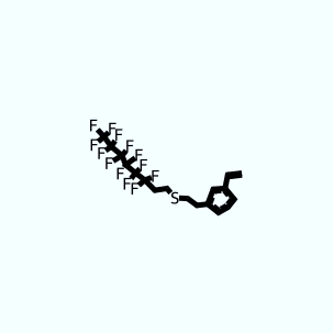 C=Cc1cccc(CCSCCC(F)(F)C(F)(F)C(F)(F)C(F)(F)C(F)(F)C(F)(F)F)c1